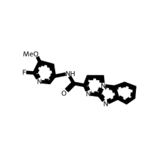 COc1cc(NC(=O)c2ccn3c(n2)nc2ccccc23)cnc1F